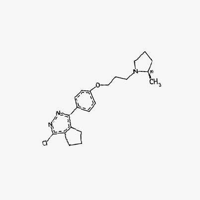 C[C@@H]1CCCN1CCCOc1ccc(-c2nnc(Cl)c3c2CCC3)cc1